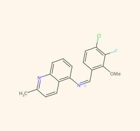 COc1c(/C=N\c2cccc3nc(C)ccc23)ccc(Cl)c1F